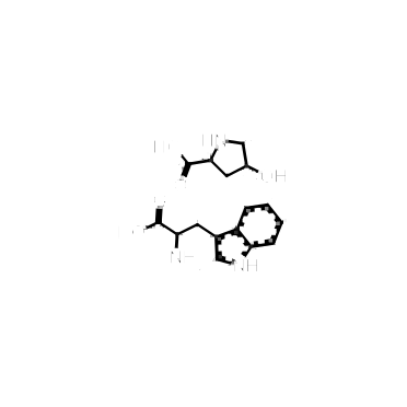 NC(Cc1c[nH]c2ccccc12)C(=O)O.O=C(O)C1CC(O)CN1